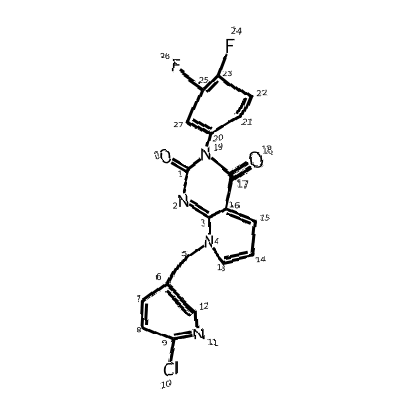 O=c1nc2n(Cc3ccc(Cl)nc3)cccc-2c(=O)n1-c1ccc(F)c(F)c1